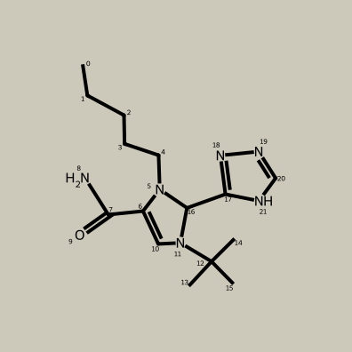 CCCCCN1C(C(N)=O)=CN(C(C)(C)C)C1c1nnc[nH]1